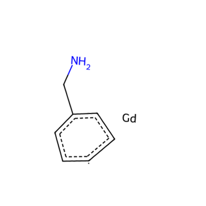 NCc1cc[c]cc1.[Gd]